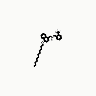 CCCCCCCCCCCCOc1ccc(CNCc2ccccc2C(F)(F)F)c2ccccc12